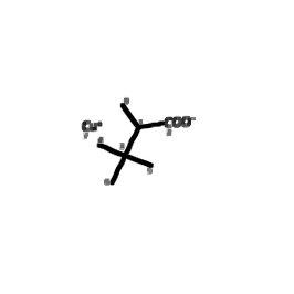 CC(C(=O)[O-])C(C)(C)C.[Cu+]